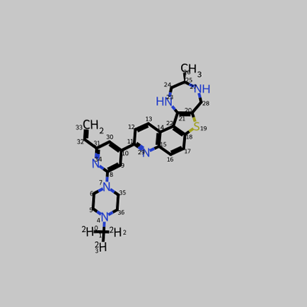 [2H]C([2H])([2H])N1CCN(c2cc(-c3ccc4c(ccc5sc6c(c54)NC[C@@H](C)NC6)n3)cc(C=C)n2)CC1